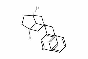 c1ccc(CN2C[C@H]3CC[C@@H](C2)C3Oc2cnccn2)cc1